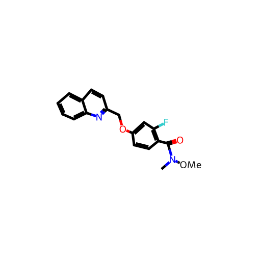 CON(C)C(=O)c1ccc(OCc2ccc3ccccc3n2)cc1F